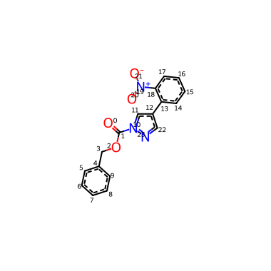 O=C(OCc1ccccc1)n1cc(-c2ccccc2[N+](=O)[O-])cn1